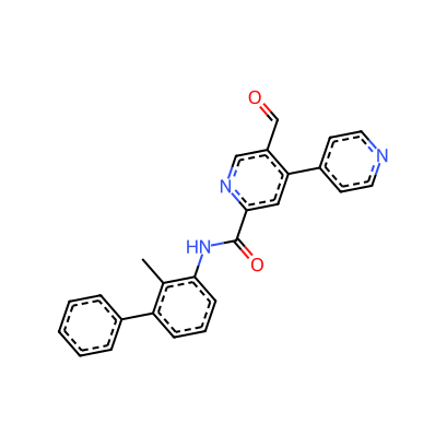 Cc1c(NC(=O)c2cc(-c3ccncc3)c(C=O)cn2)cccc1-c1ccccc1